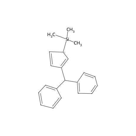 C[Si](C)(C)[C]1C=CC(C(c2ccccc2)c2ccccc2)=C1